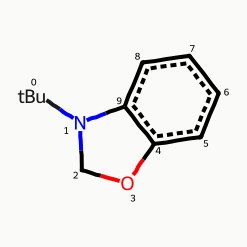 CC(C)(C)N1COc2ccccc21